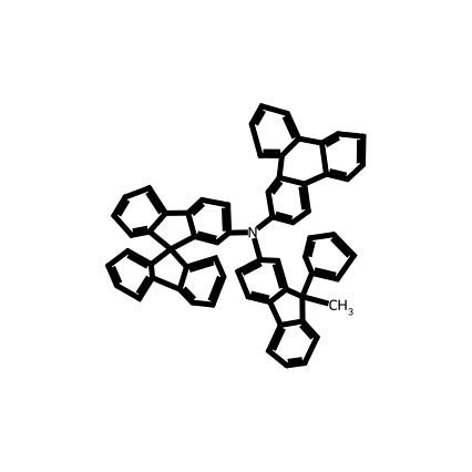 CC1(c2ccccc2)c2ccccc2-c2ccc(N(c3ccc4c(c3)C3(c5ccccc5-c5ccccc53)c3ccccc3-4)c3ccc4c5ccccc5c5ccccc5c4c3)cc21